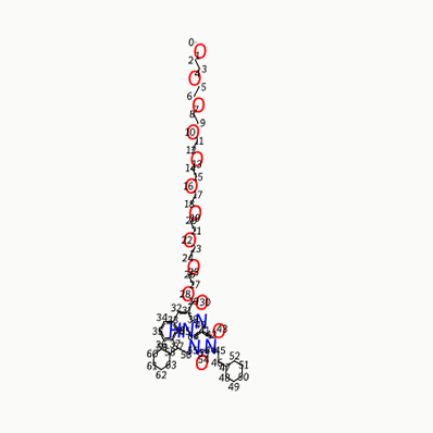 COCCOCCOCCOCCOCCOCCOCCOCCOCCOC(=O)/C(=C/c1ccccc1)c1nc2c(=O)n(CCC3CCCCC3)c(=O)n(CCC3CCCCC3)c2[nH]1